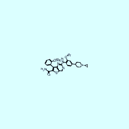 COc1ccccc1-c1c(C(N)=O)sc2cnc(Nc3ccc(C4CCN(C5CC5)CC4)cc3OC(C)C)nc12